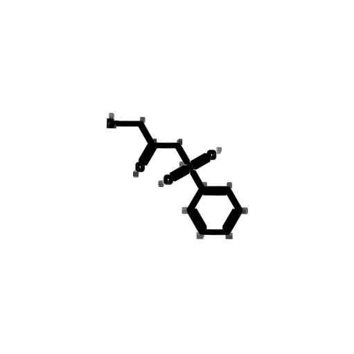 O=C(CBr)CS(=O)(=O)c1ccccc1